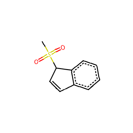 CS(=O)(=O)C1C=Cc2ccccc21